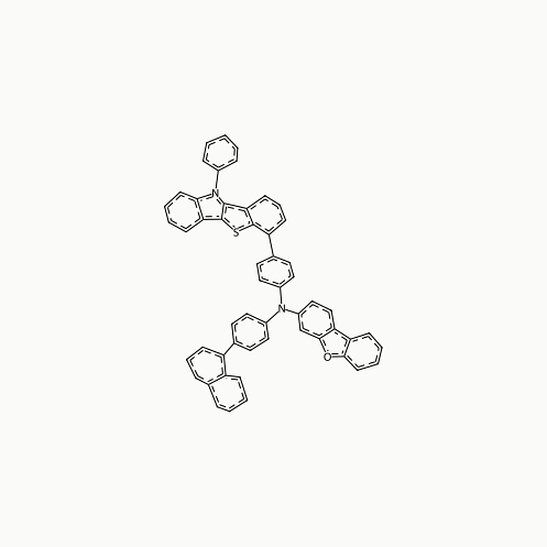 c1ccc(-n2c3ccccc3c3sc4c(-c5ccc(N(c6ccc(-c7cccc8ccccc78)cc6)c6ccc7c(c6)oc6ccccc67)cc5)cccc4c32)cc1